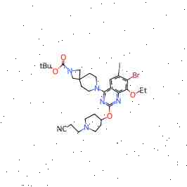 CCOc1c(Br)c(I)cc2c(N3CCC4(CC3)CN(C(=O)OC(C)(C)C)C4)nc(OC3CCN(CCC#N)CC3)nc12